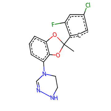 CC1(c2ccc(Cl)cc2F)Oc2cccc(N3C=NNCC3)c2O1